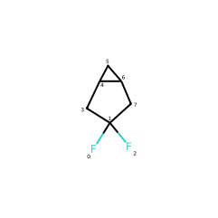 FC1(F)CC2CC2C1